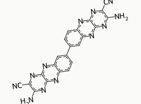 N#Cc1nc2nc3ccc(-c4ccc5nc6nc(N)c(C#N)nc6nc5c4)cc3nc2nc1N